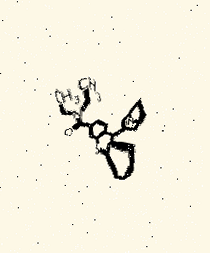 CCN(CC)C(=O)c1ccc2c(c1)Sc1ccccc1C2=C1CC2CCC(C1)N2